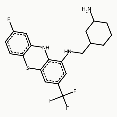 NC1CCCC(CNc2cc(C(F)(F)F)cc3c2Nc2cc(F)ccc2S3)C1